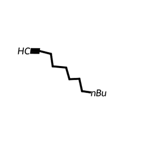 C#CCCCCCCC[CH]CC